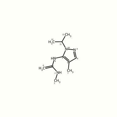 C=C(NC)Nc1c(C)cnn1C(C)C